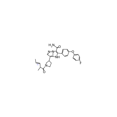 C/C=C/C(C)C(=O)N1CCC(c2cnn3c(C(N)=O)c(-c4ccc(Oc5ccc(F)cc5)cc4)[nH]c23)C1